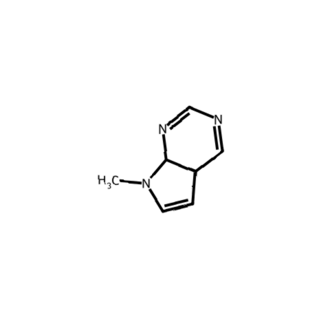 CN1C=CC2C=NC=NC21